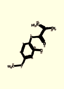 COc1ccc(OC(=O)C(C)C)c(Cl)c1